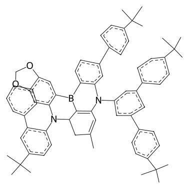 CC1=CC2=C3B(c4ccc(-c5ccc(C(C)(C)C)cc5)cc4N2c2cc(-c4ccc(C(C)(C)C)cc4)cc(-c4ccc(C(C)(C)C)cc4)c2)c2cc4c(cc2N(c2ccc(C(C)(C)C)cc2-c2ccccc2)C3C1)OCO4